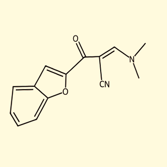 CN(C)/C=C(\C#N)C(=O)c1cc2ccccc2o1